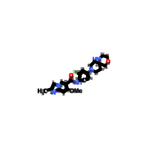 COc1cc2nc(C)cn2cc1C(=O)Nc1ccc(N2CCC3(CC2)COCCN3)cc1F